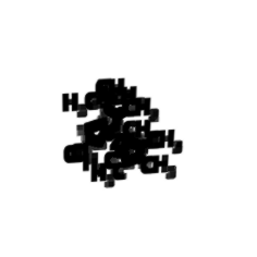 C=C(C[C]1([Zr+2][C]2(C)C(C)=C(C)C(C)=C2C)C=CC=C1)C[Si](C)(C)C.[Cl-].[Cl-]